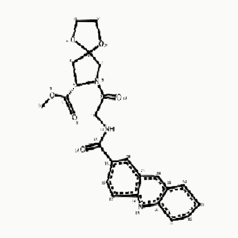 COC(=O)[C@@H]1CC2(CN1C(=O)CNC(=O)c1ccc3nc4ccccc4cc3c1)OCCO2